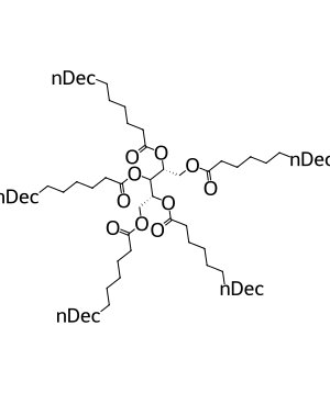 CCCCCCCCCCCCCCCC(=O)OC[C@@H](OC(=O)CCCCCCCCCCCCCCC)C(OC(=O)CCCCCCCCCCCCCCC)[C@@H](COC(=O)CCCCCCCCCCCCCCC)OC(=O)CCCCCCCCCCCCCCC